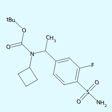 CC(c1ccc(S(N)(=O)=O)c(F)c1)N(C(=O)OC(C)(C)C)C1CCC1